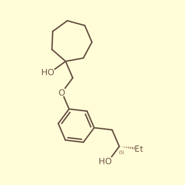 CC[C@H](O)Cc1cccc(OCC2(O)CCCCCC2)c1